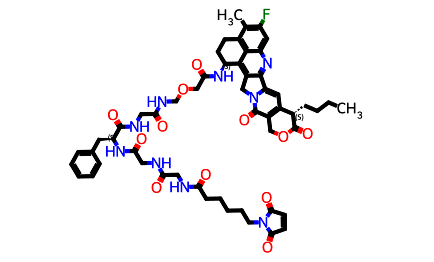 CCCC[C@@H]1C(=O)OCc2c1cc1n(c2=O)Cc2c-1nc1cc(F)c(C)c3c1c2[C@@H](NC(=O)COCNC(=O)CNC(=O)[C@H](Cc1ccccc1)NC(=O)CNC(=O)CNC(=O)CCCCCN1C(=O)C=CC1=O)CC3